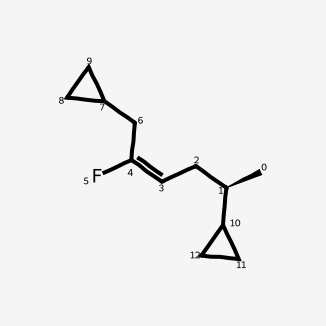 C[C@H](C/C=C(/F)CC1CC1)C1CC1